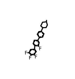 CC1CCC(c2ccc(-c3ccc(-c4cc(F)c(F)c(F)c4)c(F)c3)cc2)CC1